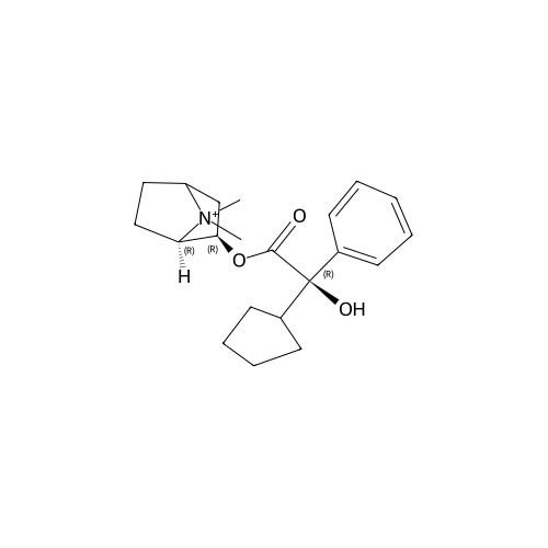 C[N+]1(C)C2CC[C@@H]1[C@H](OC(=O)[C@](O)(c1ccccc1)C1CCCC1)C2